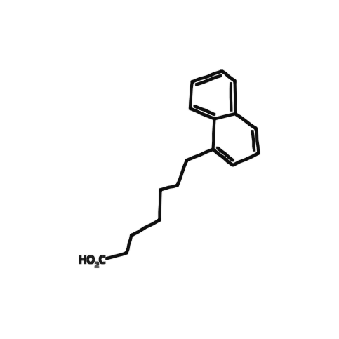 O=C(O)CCCCCCc1cccc2ccccc12